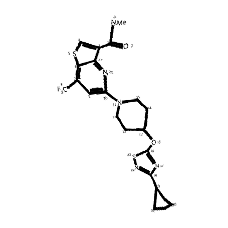 CNC(=O)c1csc2c(C(F)(F)F)cc(N3CCC(Oc4nc(C5CC5)ns4)CC3)nc12